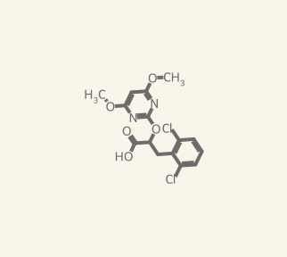 COc1cc(OC)nc(OC(Cc2c(Cl)cccc2Cl)C(=O)O)n1